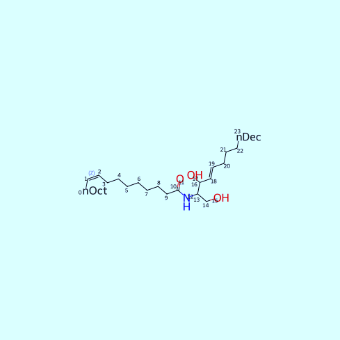 CCCCCCCC/C=C\CCCCCCCC(=O)NC(CO)C(O)C=CCCCCCCCCCCCCC